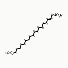 CCCCCCCCCCCCCCCCCCCCCCCCC/C=C/CS(=O)(=O)O